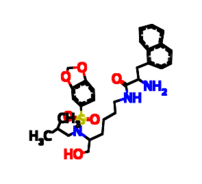 CC(C)CN(C(CO)CCCCNC(=O)C(N)Cc1cccc2ccccc12)S(=O)(=O)c1ccc2c(c1)OCO2